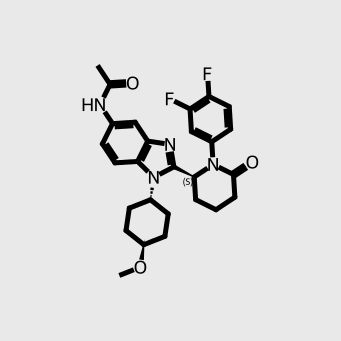 CO[C@H]1CC[C@H](n2c([C@@H]3CCCC(=O)N3c3ccc(F)c(F)c3)nc3cc(NC(C)=O)ccc32)CC1